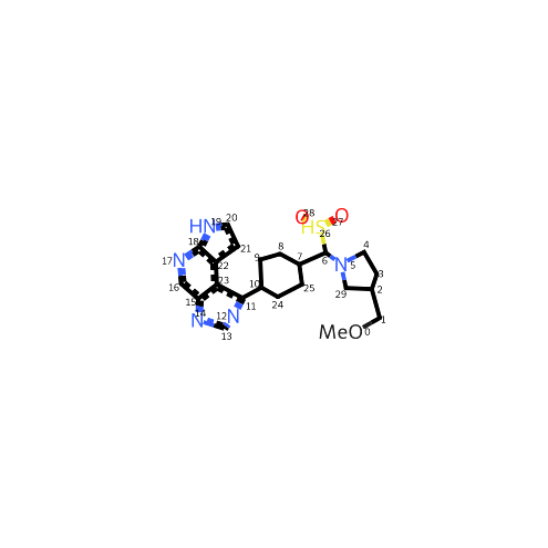 COCC1CCN(C(C2CCC(c3ncnc4cnc5[nH]ccc5c34)CC2)[SH](=O)=O)C1